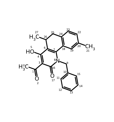 CC(=O)c1c(O)c2c(n(Cc3ccccc3)c1=O)-c1cc(C)ccc1CC2C